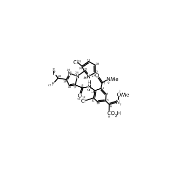 CNC(=O)c1cc(/C(=N\OC)C(=O)O)cc(Cl)c1NC(=O)c1cc(C(F)F)nn1-c1ncccc1Cl